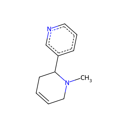 CN1CC=CCC1c1cccnc1